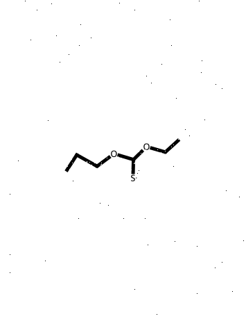 CCCOC([S])OCC